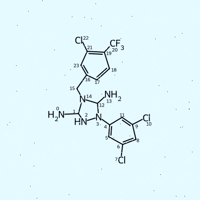 NC1NN(c2cc(Cl)cc(Cl)c2)C(N)N1Cc1ccc(C(F)(F)F)c(Cl)c1